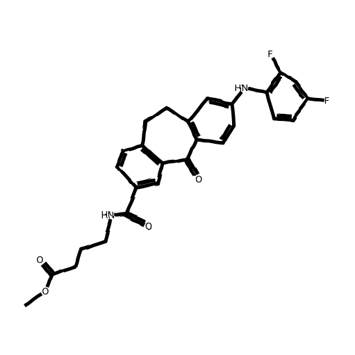 COC(=O)CCCNC(=O)c1ccc2c(c1)C(=O)c1ccc(Nc3ccc(F)cc3F)cc1CC2